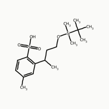 Cc1ccc(S(=O)(=O)O)c(C(C)CCO[Si](C)(C)C(C)(C)C)c1